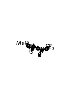 COc1ccc(CN2C(=O)Cc3c(N4CCC(c5nc(-c6ccc(F)c(C(F)(F)F)c6)cn5CCN(C)C)CC4)ncnc32)cc1